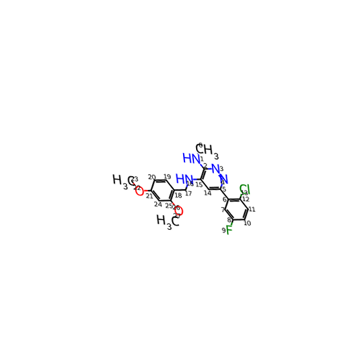 CNc1nnc(-c2cc(F)ccc2Cl)cc1NCc1ccc(OC)cc1OC